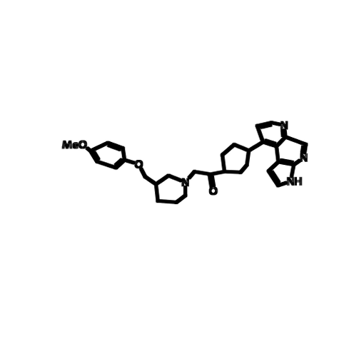 COc1ccc(OCC2CCCN(CC(=O)C3CCC(c4ccnc5cnc6[nH]ccc6c45)CC3)C2)cc1